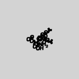 COC(=O)OCC(C)C(c1ccc(OC(=O)OCC(C)C)c(OC(=O)OCC(C)C)c1)[C@H](N)C(=O)O